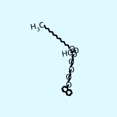 CCCCCCCCCCCCCCCOP(=O)(O)OCCOCCOCCOCCOc1cccc2ccccc12